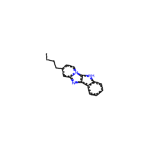 CCCCc1ccn2c(c1)nc1c3ccccc3[nH]c12